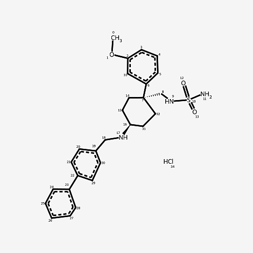 COc1cccc([C@]2(CNS(N)(=O)=O)CC[C@H](NCc3ccc(-c4ccccc4)cc3)CC2)c1.Cl